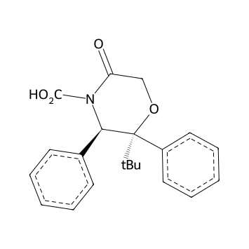 CC(C)(C)[C@@]1(c2ccccc2)OCC(=O)N(C(=O)O)[C@@H]1c1ccccc1